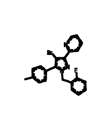 Cc1ccc(-c2c(Br)c(-c3ccccn3)nn2Cc2ccccc2F)cc1